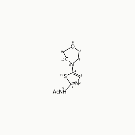 CC(=O)Nc1ncc(N2CCOCC2)s1